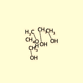 C.CO.CO.CO.CO